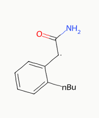 CCCCc1ccccc1[CH]C(N)=O